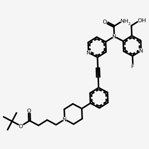 CC(C)(C)OC(=O)CCCN1CCC(c2cccc(C#Cc3cc(N(C(N)=O)c4cc(F)ncc4CO)ccn3)c2)CC1